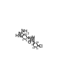 Nc1n[nH]c2ccc(NC(=O)Nc3cccc(Cl)c3)cc12